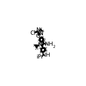 CC(C)Nc1ccc(-c2c(N)c3ccc(Oc4nccnc4Cl)cc3n2C2CC2)cc1